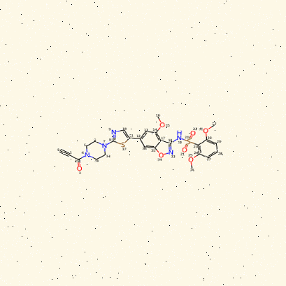 C#CC(=O)N1CCN(c2ncc(-c3cc(OC)c4c(NS(=O)(=O)c5c(OC)cccc5OC)noc4c3)s2)CC1